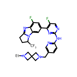 CCN1CC2(C1)CN(Cc1ccc(Nc3ncc(F)c(-c4cc(F)c5nc6n(c5c4)C(C(F)(F)F)CC6)n3)nc1)C2